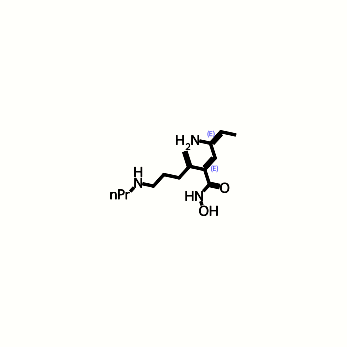 C=C(CCCNCCC)/C(=C\C(N)=C/C)C(=O)NO